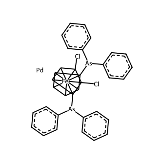 Cl[C]12[CH]3[CH]4[C]5([As](c6ccccc6)c6ccccc6)[C]1(Cl)[Fe]34251678[CH]2[CH]1[CH]6[C]7([As](c1ccccc1)c1ccccc1)[CH]28.[Pd]